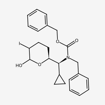 O=C(OCc1ccccc1)N(Cc1ccccc1)[C@@H](C1CC1)[C@@H]1CCC(I)C(O)O1